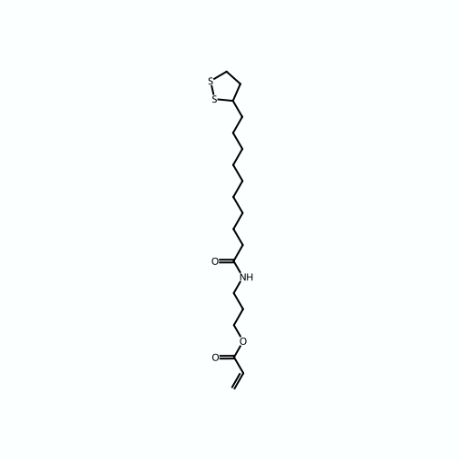 C=CC(=O)OCCCNC(=O)CCCCCCCCCC1CCSS1